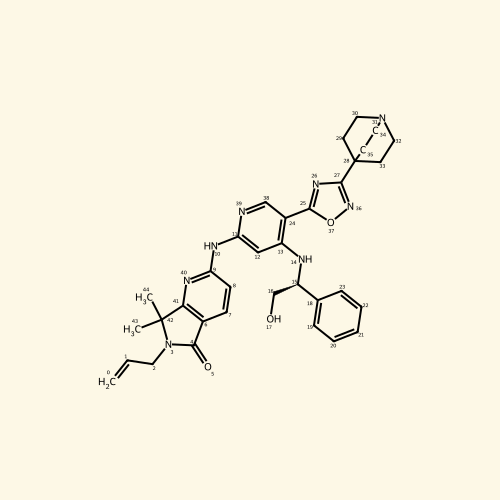 C=CCN1C(=O)c2ccc(Nc3cc(N[C@H](CO)c4ccccc4)c(-c4nc(C56CCN(CC5)CC6)no4)cn3)nc2C1(C)C